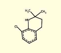 CC1(C)CCc2cccc(Cl)c2N1